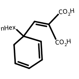 CCCCCCC1(C=C(C(=O)O)C(=O)O)C=CC=CC1